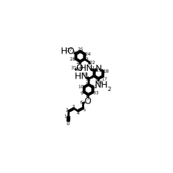 C#C/C=C\C=C/COc1ccc(C(=N)c2c(N)ccnc2NCc2ccc(O)cc2OC)cc1